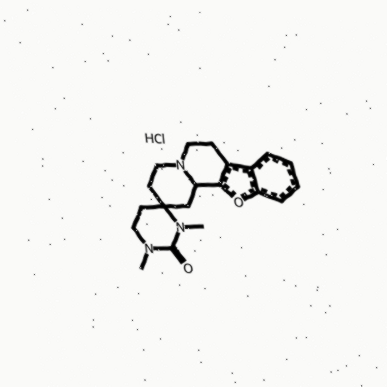 CN1CCC2(CCN3CCc4c(oc5ccccc45)C3C2)N(C)C1=O.Cl